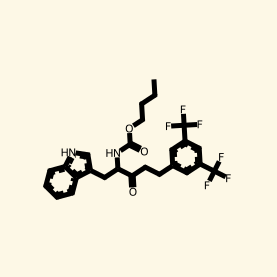 CCCCOC(=O)NC(Cc1c[nH]c2ccccc12)C(=O)CCc1cc(C(F)(F)F)cc(C(F)(F)F)c1